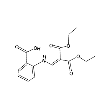 CCOC(=O)C(=CNc1ccccc1C(=O)O)C(=O)OCC